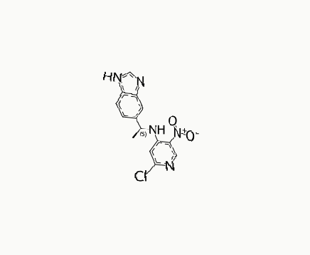 C[C@H](Nc1cc(Cl)ncc1[N+](=O)[O-])c1ccc2[nH]cnc2c1